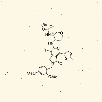 COc1ccc(CN2Cc3c(F)c(NC4CCOC[C@@H]4NC(=O)OC(C)(C)C)nc(-c4ccc(C)s4)c3C2=O)c(OC)c1